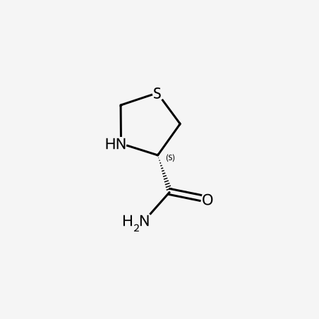 NC(=O)[C@H]1CSCN1